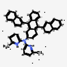 Cc1cccc(N(c2ccc3c(-c4ccc5ccccc5c4)c4ccccc4c(-c4ccc5ccccc5c4)c3c2)c2cccc(C)n2)n1